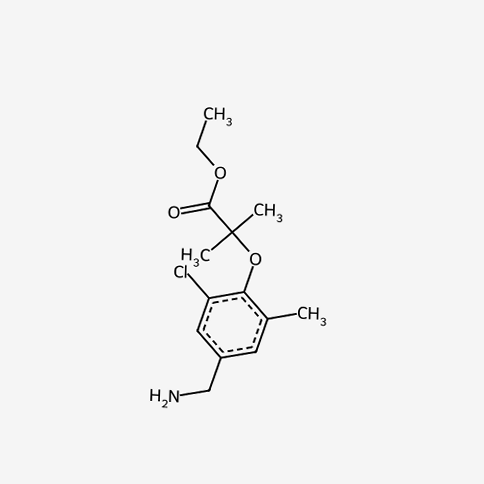 CCOC(=O)C(C)(C)Oc1c(C)cc(CN)cc1Cl